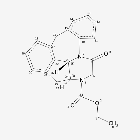 CCOC(=O)N1CC(=O)N2c3ccccc3Cc3cccc4c3[C@H]2[C@@H]1C4